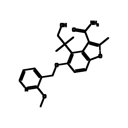 COc1ncccc1COc1ccc2oc(C)c(C(N)=O)c2c1C(C)(C)CO